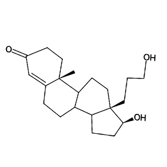 C[C@]12CCC(=O)C=C1CCC1C3CC[C@H](O)[C@@]3(CCCO)CCC12